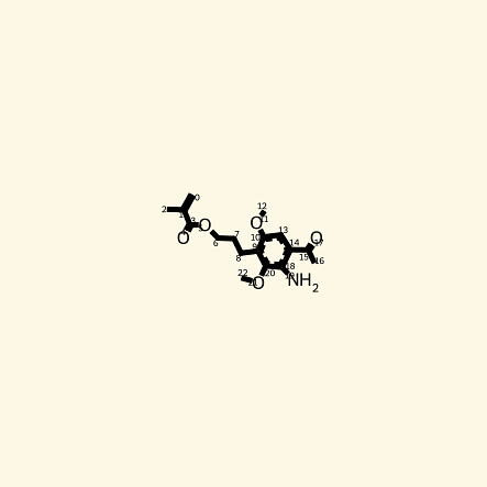 C=C(C)C(=O)OCCCc1c(OC)cc(C(C)=O)c(N)c1OC